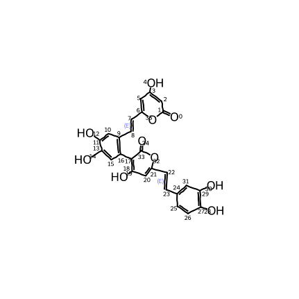 O=c1cc(O)cc(/C=C/c2cc(O)c(O)cc2-c2c(O)cc(/C=C/c3ccc(O)c(O)c3)oc2=O)o1